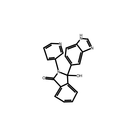 O=C1c2ccccc2C(O)(c2ccc3[nH][c]nc3c2)N1c1cccnc1